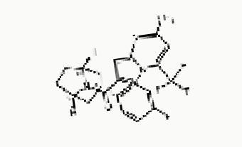 Cc1cc(C(F)(F)F)n2nc(C(=O)N3[C@@H]4CC[C@H]3C[C@@H](c3ccc(F)cc3)C4)cc2n1